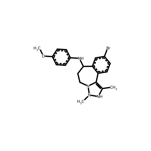 COc1ccc(NC2CCN3C(=C(C)NN3C)c3ccc(Br)cc32)cc1